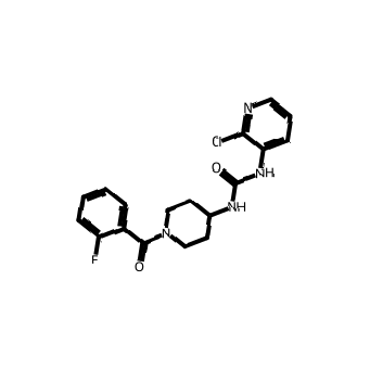 O=C(Nc1cccnc1Cl)NC1CCN(C(=O)c2ccccc2F)CC1